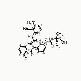 CC(Nc1ncnc(N)c1C#N)c1nc2cccc(Cl)c2c(=O)n1-c1cccc(NC(=O)NC(C)(C)CO)c1